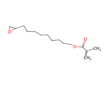 C=C(C)C(=O)OCCCCCCCCCC1CO1